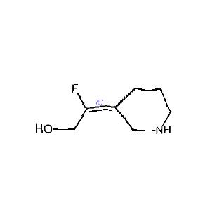 OC/C(F)=C1/CCCNC1